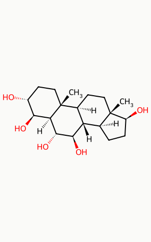 C[C@]12CC[C@@H](O)[C@H](O)[C@@H]1[C@@H](O)[C@H](O)[C@@H]1[C@@H]2CC[C@]2(C)[C@@H](O)CC[C@@H]12